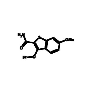 COc1ccc2c(OC(C)C)c(C(N)=O)sc2c1